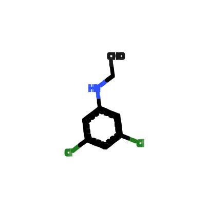 O=CCNc1cc(Cl)cc(Cl)c1